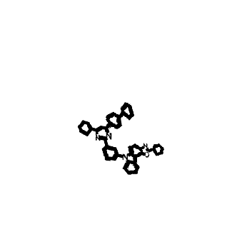 c1ccc(-c2ccc(-c3cc(-c4ccccc4)nc(-c4cccc(-n5c6ccccc6c6c7oc(-c8ccccc8)nc7ccc65)c4)n3)cc2)cc1